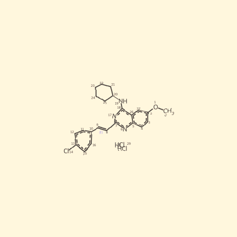 COc1ccc2nc(/C=C/c3ccc(Cl)cc3)nc(NC3CCCCC3)c2c1.Cl.Cl